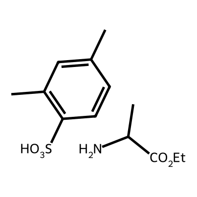 CCOC(=O)C(C)N.Cc1ccc(S(=O)(=O)O)c(C)c1